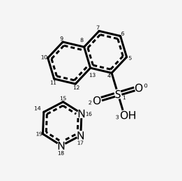 O=S(=O)(O)c1cccc2ccccc12.c1cnnnc1